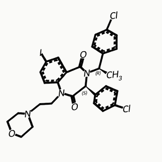 C[C@H](c1ccc(Cl)cc1)N1C(=O)c2cc(I)ccc2N(CCN2CCOCC2)C(=O)[C@@H]1c1ccc(Cl)cc1